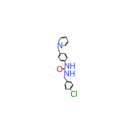 O=C(NCc1ccc(Cl)cc1)Nc1ccc(CN2C=CC=CC2)cc1